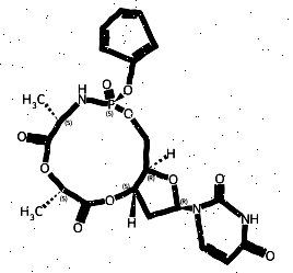 C[C@@H]1N[P@@](=O)(Oc2ccccc2)OC[C@H]2O[C@@H](n3ccc(=O)[nH]c3=O)C[C@@H]2OC(=O)[C@H](C)OC1=O